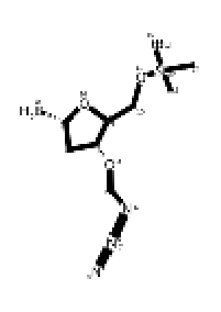 B[C@H]1C[C@@H](OCN=[N+]=[N-])C(CO[Si](C)(C)C(C)(C)C)O1